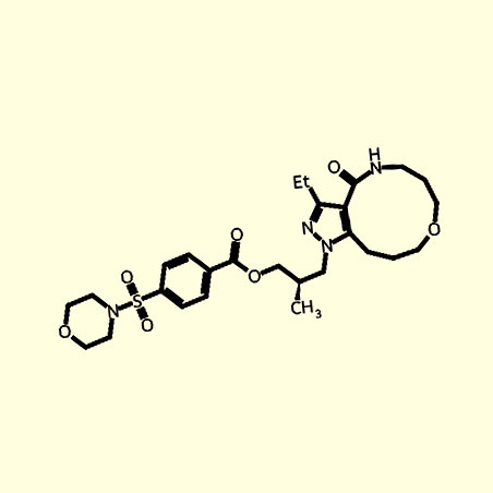 CCc1nn(C[C@@H](C)COC(=O)c2ccc(S(=O)(=O)N3CCOCC3)cc2)c2c1C(=O)NCCCOCCC2